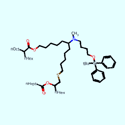 CCCCCCCCC(CCCCCC)C(=O)OCCCCCC(CCCCCSCC(CCCCCC)OC(=O)CCCCCCC)N(C)CCCCO[Si](c1ccccc1)(c1ccccc1)C(C)(C)C